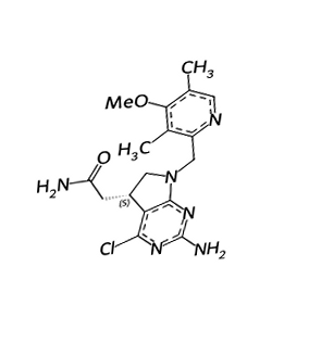 COc1c(C)cnc(CN2C[C@@H](CC(N)=O)c3c(Cl)nc(N)nc32)c1C